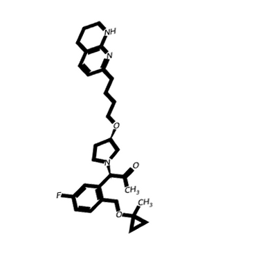 CC(=O)[C@@H](c1cc(F)ccc1COC1(C)CC1)N1CC[C@@H](OCCCCc2ccc3c(n2)NCCC3)C1